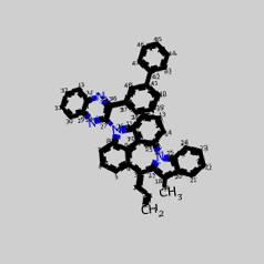 C=C/C=c1/c2cccc3c2c2c(cccc2n2c1c(C)c1ccccc12)n3-c1nc2ccccc2nc1-c1cccc(-c2ccccc2)c1